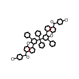 O=C(c1ccc(Cl)cc1)c1ccc(Oc2c(-c3ccccc3)cc(C(c3ccccc3)(c3ccccc3)c3cc(-c4ccccc4)c(Oc4ccc(C(=O)c5ccc(Cl)cc5)cc4)c(-c4ccccc4)c3)cc2-c2ccccc2)cc1